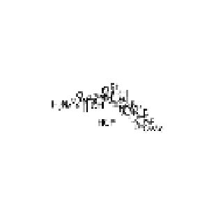 CCc1cc(Nc2nccn3c(-c4ccc(OC)c(F)c4F)cnc23)ccc1C(=O)NCC(O)CNC(=O)CCCN.Cl